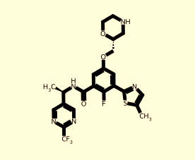 Cc1cnc(-c2cc(OC[C@H]3CNCCO3)cc(C(=O)N[C@H](C)c3cnc(C(F)(F)F)nc3)c2F)s1